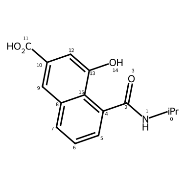 CC(C)NC(=O)c1cccc2cc(C(=O)O)cc(O)c12